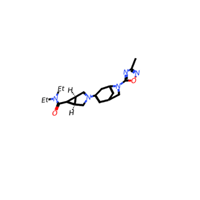 CCN(CC)C(=O)C1[C@H]2CN(C3CC4CC(C3)N(c3nc(C)no3)C4)C[C@@H]12